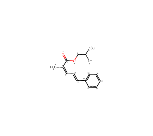 CCCCC(CC)COC(=O)C(C)=CC=Cc1ccccc1